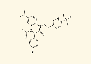 CC(=O)OC(C(=O)N(CCc1ccc(C(F)(F)F)nc1)c1ccc(C(C)C)cc1)c1ccc(F)cc1